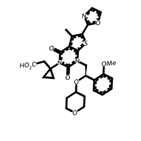 COc1ccccc1[C@H](Cn1c(=O)n(C2(CC(=O)O)CC2)c(=O)c2c(C)c(-c3ncco3)sc21)OC1CCOCC1